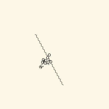 CCCCCCCCCCCCCCCCO[C@H](COC(=O)CCCCCCCCCCCCCCC)COP(=O)(O)OCC[N+](C)(C)C